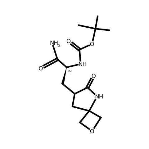 CC(C)(C)OC(=O)N[C@@H](CC1CC2(COC2)NC1=O)C(N)=O